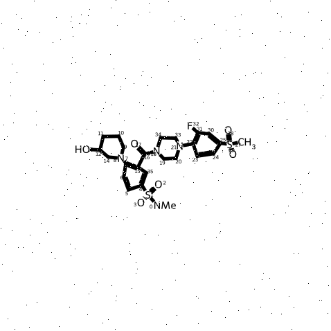 CNS(=O)(=O)c1ccc(N2CCCC(O)C2)c(C(=O)N2CCN(c3ccc(S(C)(=O)=O)cc3F)CC2)c1